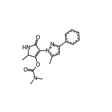 Cc1cc(-c2ccccc2)nn1C1=C(OC(=O)N(C)C)C(C)NC1=O